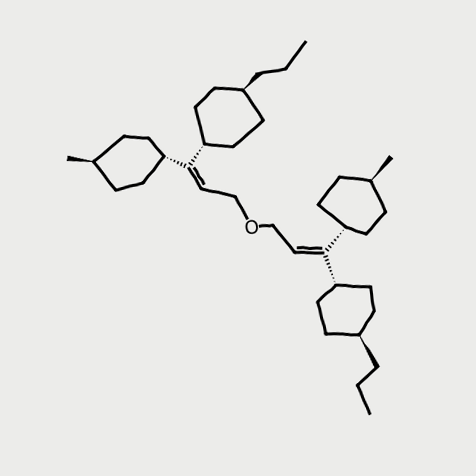 CCC[C@H]1CC[C@H](C(=CCOCC=C([C@H]2CC[C@H](C)CC2)[C@H]2CC[C@H](CCC)CC2)[C@H]2CC[C@H](C)CC2)CC1